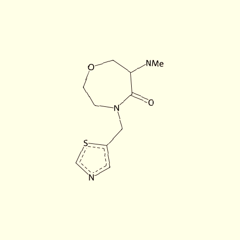 CNC1COCCN(Cc2cncs2)C1=O